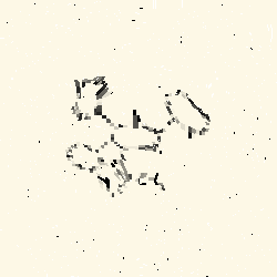 C[Si]1(C)C2=NC(c3ccccc3)=NC(c3ccccc3)C2c2ccccc21